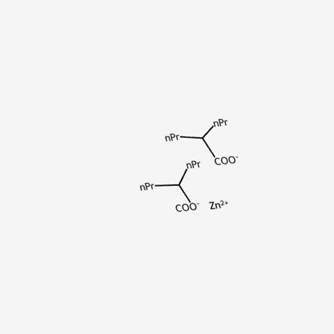 CCCC(CCC)C(=O)[O-].CCCC(CCC)C(=O)[O-].[Zn+2]